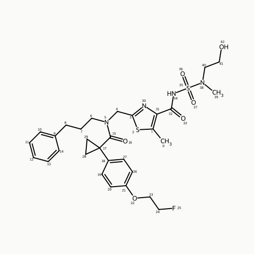 Cc1sc(CN(CCCc2ccccc2)C(=O)C2(c3ccc(OCCF)cc3)CC2)nc1C(=O)NS(=O)(=O)N(C)CCO